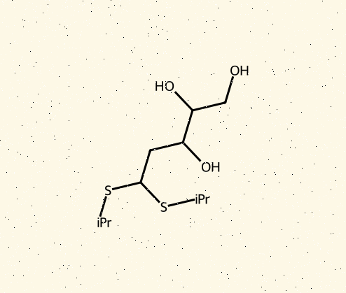 CC(C)SC(CC(O)C(O)CO)SC(C)C